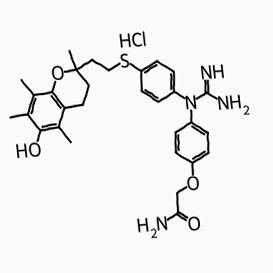 Cc1c(C)c2c(c(C)c1O)CCC(C)(CCSc1ccc(N(C(=N)N)c3ccc(OCC(N)=O)cc3)cc1)O2.Cl